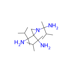 CC(C)C(C)(N)N1CC1(C(C)(N)C(C)C)C(C)(N)C(C)C